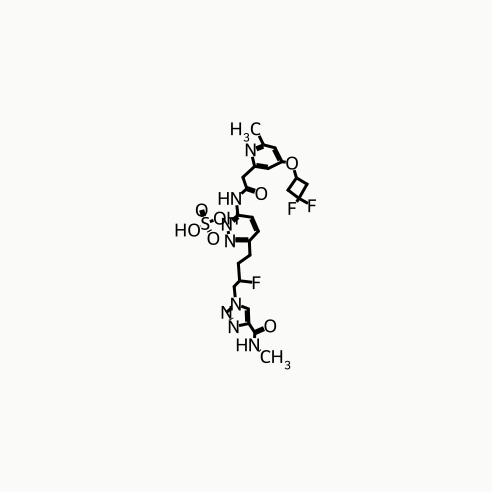 CNC(=O)c1cn(CC(F)CCc2ccc(NC(=O)Cc3cc(OC4CC(F)(F)C4)cc(C)n3)nn2)nn1.O=S(=O)(O)O